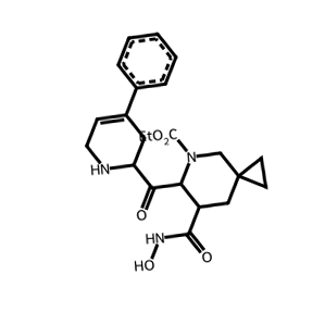 CCOC(=O)N1CC2(CC2)CC(C(=O)NO)C1C(=O)C1CC(c2ccccc2)=CCN1